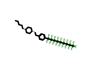 CCCCC[C@H]1CC[C@H](CCc2ccc(C(F)(F)C(F)(F)C(F)(F)C(F)(F)C(F)(F)C(F)(F)C(F)(F)C(F)(F)C(F)(F)F)cc2)CC1